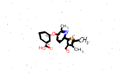 Cc1nc(-c2sc(C)c(C)c2C=O)ccc1O[C@H]1CCC[C@H](C(=O)O)C1